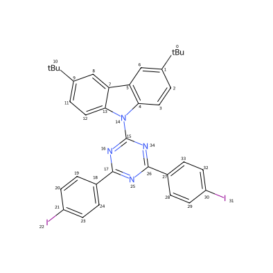 CC(C)(C)c1ccc2c(c1)c1cc(C(C)(C)C)ccc1n2-c1nc(-c2ccc(I)cc2)nc(-c2ccc(I)cc2)n1